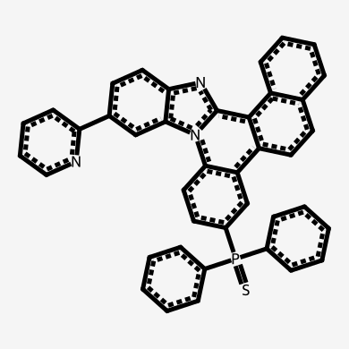 S=P(c1ccccc1)(c1ccccc1)c1ccc2c(c1)c1ccc3ccccc3c1c1nc3ccc(-c4ccccn4)cc3n21